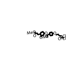 COC(=O)/C=C/c1ccc(OC(=O)c2ccc(OCCCC[Si](Cl)(Cl)Cl)cc2)cc1OC